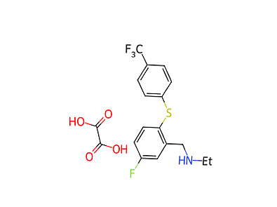 CCNCc1cc(F)ccc1Sc1ccc(C(F)(F)F)cc1.O=C(O)C(=O)O